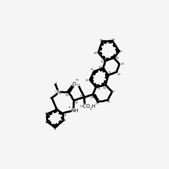 CN1Cc2ccccc2NC(C(C)(C(=O)O)C2=CCCc3c2ccc2c3CCc3ccccc3-2)C1=O